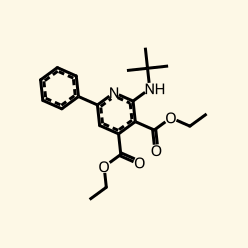 CCOC(=O)c1cc(-c2ccccc2)nc(NC(C)(C)C)c1C(=O)OCC